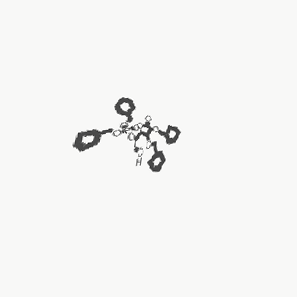 O=C1O[C@@H]([C@H](CO)OP(=O)(OCc2ccccc2)OCc2ccccc2)C(OCc2ccccc2)=C1OCc1ccccc1